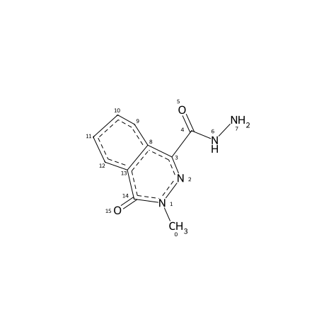 Cn1nc(C(=O)NN)c2ccccc2c1=O